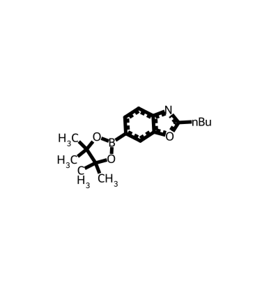 CCCCc1nc2ccc(B3OC(C)(C)C(C)(C)O3)cc2o1